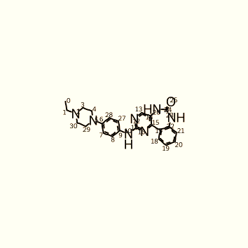 CCN1CCN(c2ccc(Nc3ncc4c(n3)-c3ccccc3NC(=O)N4)cc2)CC1